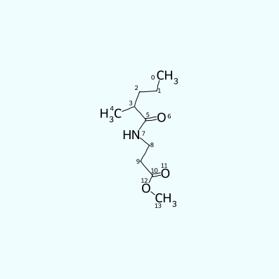 CCCC(C)C(=O)NCCC(=O)OC